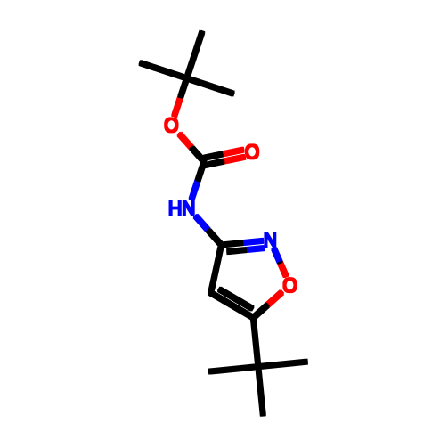 CC(C)(C)OC(=O)Nc1cc(C(C)(C)C)on1